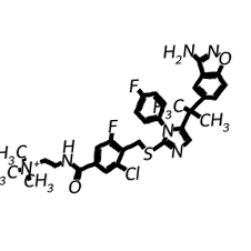 CC(C)(c1ccc2onc(N)c2c1)c1cnc(SCc2c(F)cc(C(=O)NCC[N+](C)(C)C)cc2Cl)n1-c1ccc(F)cc1